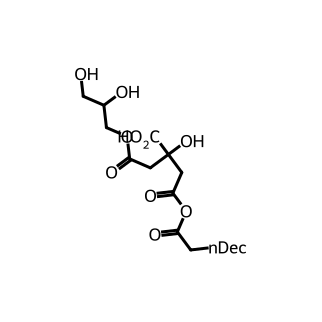 CCCCCCCCCCCC(=O)OC(=O)CC(O)(CC(=O)OCC(O)CO)C(=O)O